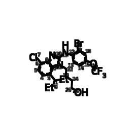 CCC(CC)c1ccc(Cl)c2nc(Nc3ccc(OC(F)(F)F)cc3Br)n(CCCCO)c12